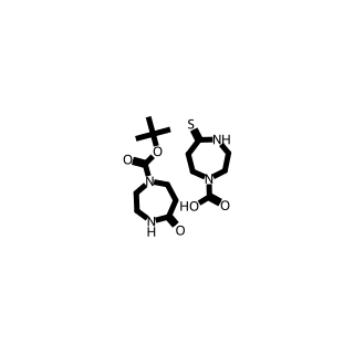 CC(C)(C)OC(=O)N1CCNC(=O)CC1.O=C(O)N1CCNC(=S)CC1